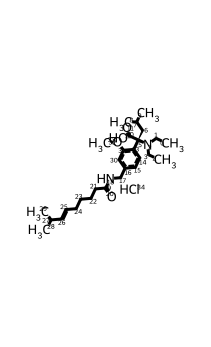 CCN(CC)[C@@](CC(C)C)(C(=O)O)c1ccc(CNC(=O)CCCC/C=C/C(C)C)cc1OC.Cl